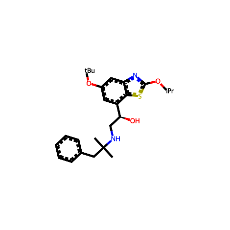 CC(C)Oc1nc2cc(OC(C)(C)C)cc([C@@H](O)CNC(C)(C)Cc3ccccc3)c2s1